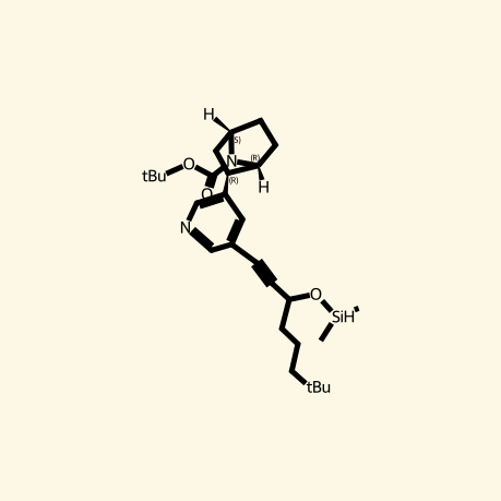 C[SiH](C)OC(C#Cc1cncc([C@H]2C[C@@H]3CC[C@H]2N3C(=O)OC(C)(C)C)c1)CCCC(C)(C)C